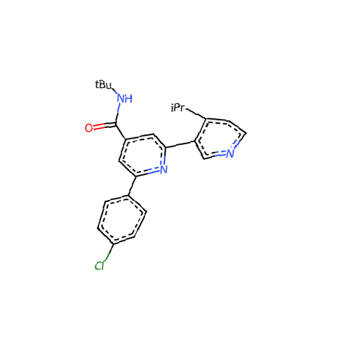 CC(C)c1ccncc1-c1cc(C(=O)NC(C)(C)C)cc(-c2ccc(Cl)cc2)n1